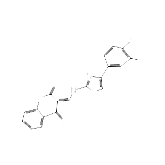 Cc1cc(-c2csc(N/C=C3\C(=O)Oc4ccccc4C3=O)n2)ccc1O